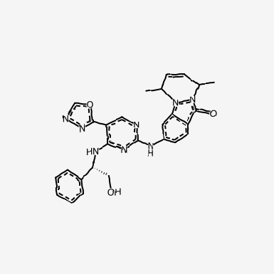 CC1C=CC(C)n2c3cc(Nc4ncc(-c5nnco5)c(N[C@H](CO)c5ccccc5)n4)ccc3c(=O)n21